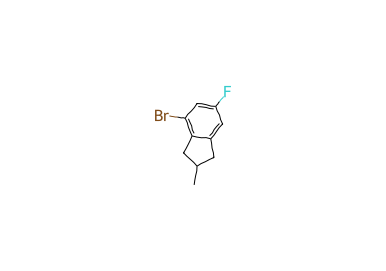 CC1Cc2cc(F)cc(Br)c2C1